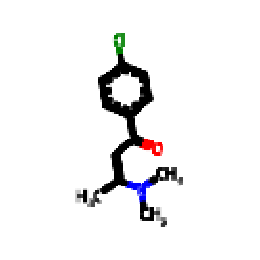 C/C(=C/C(=O)c1ccc(Cl)cc1)N(C)C